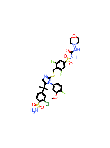 COc1cc(-n2c(C(C)(C)c3ccc(S(N)(=O)=O)c(Cl)c3)cnc2SCc2c(F)cc(S(=O)(=O)NC(=O)NN3CCOCC3)cc2F)ccc1F